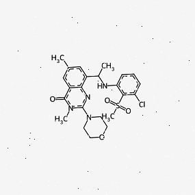 Cc1cc(C(C)Nc2cccc(Cl)c2S(C)(=O)=O)c2nc(N3CCOCC3)n(C)c(=O)c2c1